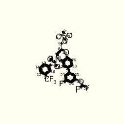 CS(=O)(=O)OC[C@H]1CN(S(=O)(=O)c2cccc(C(F)(F)F)c2)c2cc(-c3cc(F)cc(OC(F)F)c3)ccc2O1